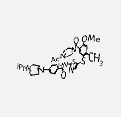 COc1cc(C)c(Sc2cnc(NC(=O)c3ccc(N4CCN(C(C)C)CC4)cc3)s2)cc1C(=O)N1CCN(C(C)=O)CC1